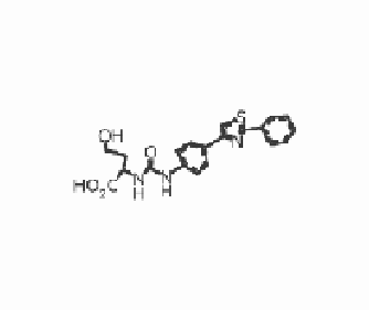 O=C(Nc1ccc(-c2csc(-c3ccccc3)n2)cc1)NC(CCO)C(=O)O